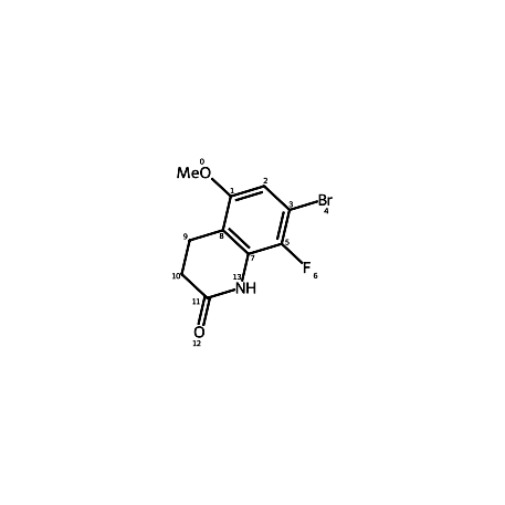 COc1cc(Br)c(F)c2c1CCC(=O)N2